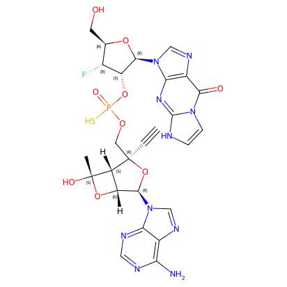 C#C[C@]1(COP(=O)(S)O[C@@H]2[C@H](F)[C@@H](CO)O[C@H]2n2cnc3c(=O)n4cc[nH]c4nc32)O[C@@H](n2cnc3c(N)ncnc32)[C@@H]2O[C@](C)(O)[C@@H]21